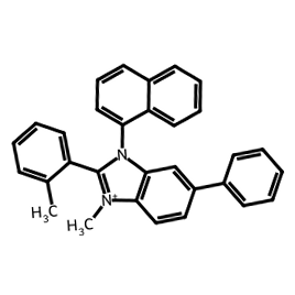 Cc1ccccc1-c1n(-c2cccc3ccccc23)c2cc(-c3ccccc3)ccc2[n+]1C